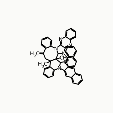 C=C1CC2(C)c3ccccc3N3c4cc5ccccc5cc4N(c4ccccc4)C3C2(C)C2N(c3ccccc3)c3nc4ccccc4nc3N2c2ccccc21